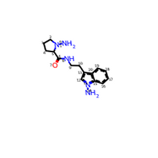 NN1CCCC1C(=O)NCCc1cn(N)c2ccccc12